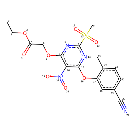 CCOC(=O)COc1nc(S(C)(=O)=O)nc(Oc2cc(C#N)ccc2C)c1[N+](=O)[O-]